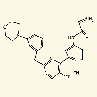 C=CC(=O)Nc1ccc(C#N)c(-c2nc(Nc3cccc(N4CCOCC4)c3)ncc2C(F)(F)F)c1